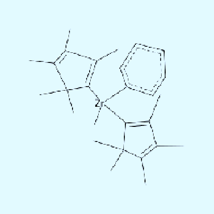 CC1=C(C)C(C)(C)[C]([Zr]([CH3])([C]2=C(C)C(C)=C(C)C2(C)C)[c]2ccccc2)=C1C